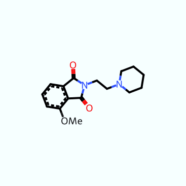 COc1cccc2c1C(=O)N(CCN1CCCCC1)C2=O